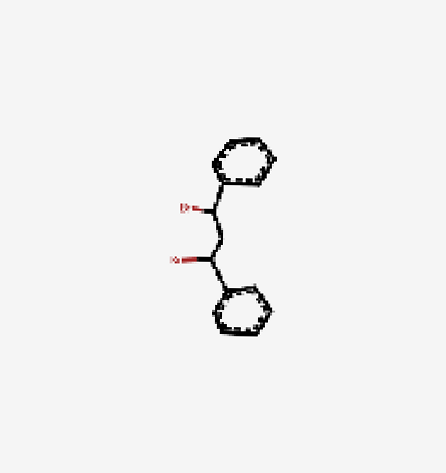 BrC(CC(Br)c1ccccc1)c1ccccc1